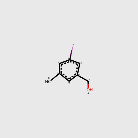 N#Cc1cc(I)cc(CO)c1